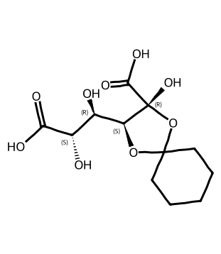 O=C(O)[C@@H](O)[C@@H](O)[C@@H]1OC2(CCCCC2)O[C@@]1(O)C(=O)O